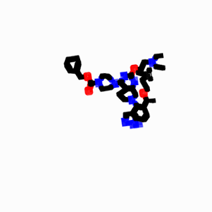 CCN(CC)CCOc1nc2c(c(N3CCN(C(=O)OCc4ccccc4)CC3)n1)CCN(c1c([C@H](C)OCC[Si](C)(C)C)ccc3[nH]ncc13)C2